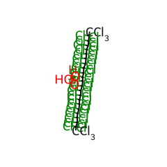 ClC(Cl)(Cl)C(Cl)(Cl)C(Cl)(Cl)C(Cl)(Cl)C(Cl)(Cl)C(Cl)(Cl)C(Cl)(Cl)C(Cl)(Cl)C(Cl)(Cl)C(Cl)(Cl)C(Cl)(Cl)C(Cl)(Cl)C(Cl)(Cl)C(Cl)(Cl)C(Cl)(Cl)C(Cl)(Cl)C(Cl)(Cl)C(Cl)(Cl)C(Cl)(Cl)C(Cl)(Cl)C(Cl)(Cl)C(Cl)(Cl)C(Cl)(Cl)Cl.O=[SH](=O)O